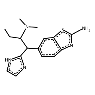 CCC(C(c1ccc2nc(N)sc2c1)c1ncc[nH]1)N(C)C